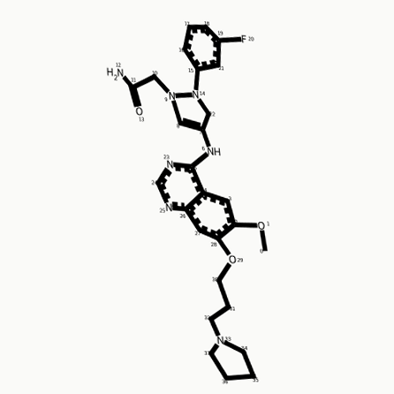 COc1cc2c(NC3=CN(CC(N)=O)N(c4cccc(F)c4)C3)ncnc2cc1OCCCN1CCCC1